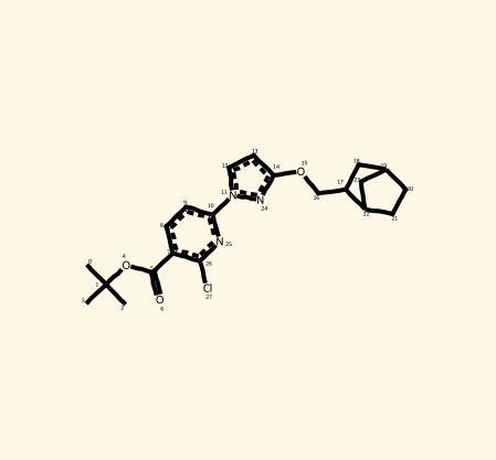 CC(C)(C)OC(=O)c1ccc(-n2ccc(OCC3CC4CCC3C4)n2)nc1Cl